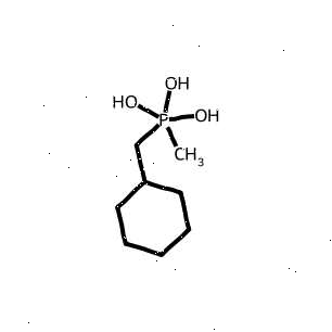 CP(O)(O)(O)CC1CCCCC1